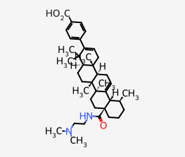 C[C@H]1CCC[C@]2(C(=O)NCCN(C)C)CC[C@]3(C)C(=CC[C@@H]4[C@@]5(C)CC=C(c6ccc(C(=O)O)cc6)C(C)(C)[C@@H]5CC[C@]43C)[C@H]12